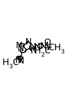 C=C(C)C(=O)N1CCN(c2ncc(-c3cc(-c4cnn(C)c4)cn4ncc(C#N)c34)cn2)CC1